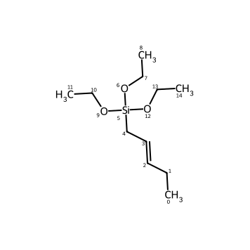 CC/C=C/C[Si](OCC)(OCC)OCC